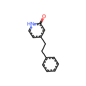 O=c1cc(CCc2ccccc2)cc[nH]1